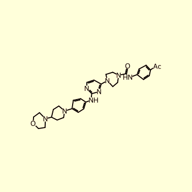 CC(=O)c1ccc(NC(=O)N2CCN(c3ccnc(Nc4ccc(N5CCC(N6CCOCC6)CC5)cc4)n3)CC2)cc1